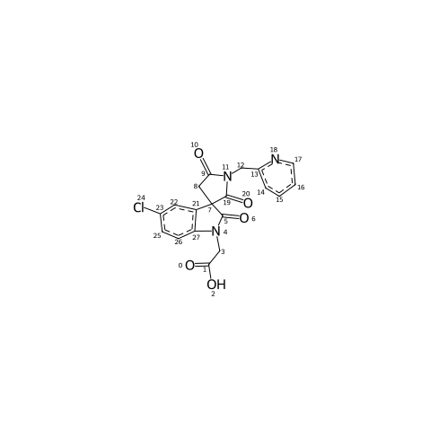 O=C(O)CN1C(=O)C2(CC(=O)N(Cc3ccccn3)C2=O)c2cc(Cl)ccc21